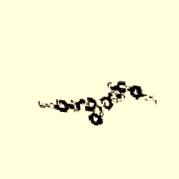 COc1ccc(-c2ncc(CN3CC[C@@H](C(=O)N4CCC(O)(Cn5cnc6c(ccn6-c6ccc(C)cc6)c5=O)CC4)[C@H](c4ccccc4)C3)s2)cn1